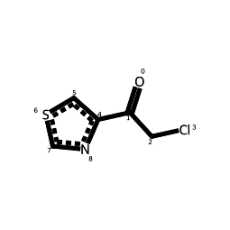 O=C(CCl)c1cscn1